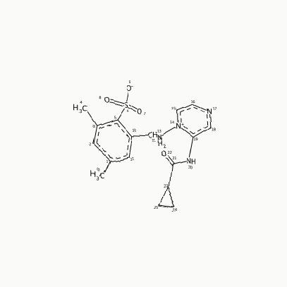 Cc1cc(C)c(S(=O)(=O)[O-])c(C)c1.N[n+]1ccncc1NC(=O)C1CC1